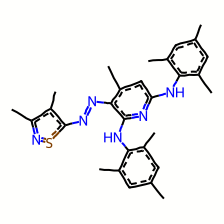 Cc1cc(C)c(Nc2cc(C)c(N=Nc3snc(C)c3C)c(Nc3c(C)cc(C)cc3C)n2)c(C)c1